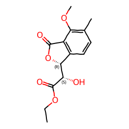 CCOC(=O)[C@@H](O)[C@@H]1OC(=O)c2c1ccc(C)c2OC